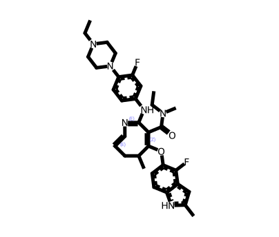 CCN1CCN(c2ccc(NC3=N/C=C/CC(C)/C(Oc4ccc5[nH]c(C)cc5c4F)=C\3C(=O)N(C)CC)cc2F)CC1